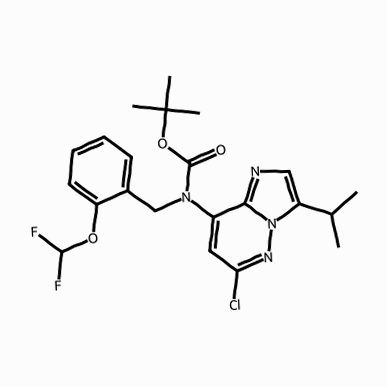 CC(C)c1cnc2c(N(Cc3ccccc3OC(F)F)C(=O)OC(C)(C)C)cc(Cl)nn12